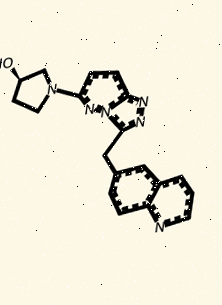 O[C@@H]1CCN(c2ccc3nnc(Cc4ccc5ncccc5c4)n3n2)C1